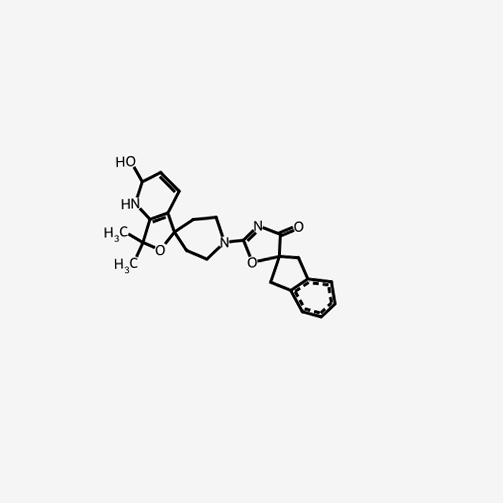 CC1(C)OC2(CCN(C3=NC(=O)C4(Cc5ccccc5C4)O3)CC2)C2=C1NC(O)C=C2